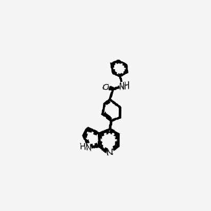 O=C(Nc1ccccc1)C1=CC=C(c2ccnc3[nH]ccc23)CC1